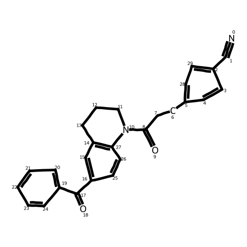 N#Cc1ccc(CCC(=O)N2CCCc3cc(C(=O)c4ccccc4)ccc32)cc1